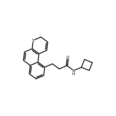 O=C(CCc1cccc2ccc3c(c12)C=CCS3)NC1CCC1